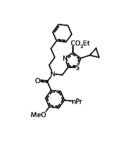 CCCc1cc(OC)cc(C(=O)N(CCCC2=CCCC=C2)Cc2nc(C(=O)OCC)c(C3CC3)s2)c1